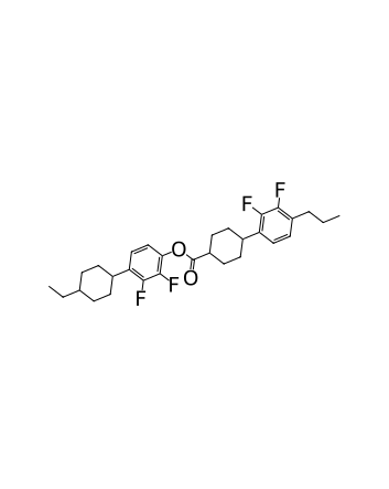 CCCc1ccc(C2CCC(C(=O)Oc3ccc(C4CCC(CC)CC4)c(F)c3F)CC2)c(F)c1F